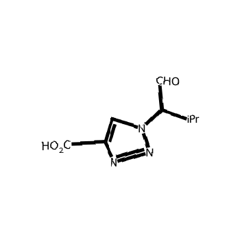 CC(C)C(C=O)n1cc(C(=O)O)nn1